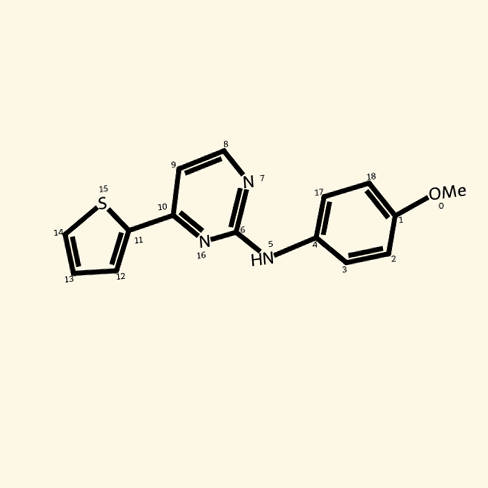 COc1ccc(Nc2nccc(-c3cccs3)n2)cc1